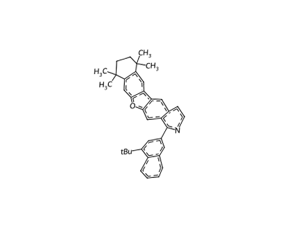 CC(C)(C)c1cc(-c2nccc3cc4c(cc23)oc2cc3c(cc24)C(C)(C)CCC3(C)C)cc2ccccc12